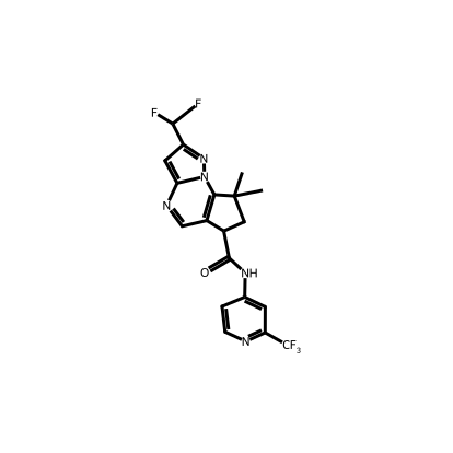 CC1(C)CC(C(=O)Nc2ccnc(C(F)(F)F)c2)c2cnc3cc(C(F)F)nn3c21